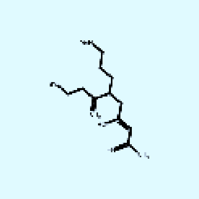 C=C(CCC(C)C)C(CCCNC)C/C(O)=C/C(C)=N